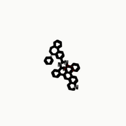 c1ccc(-c2nc(-c3ccc4c(c3)[C@H](c3ccccc3)CCc3ccccc3-4)nc(-c3ccccc3-c3cc4c5cccnc5ccc4c4ccccc34)n2)cc1